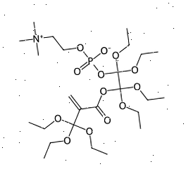 C=C(C(=O)OC(OCC)(OCC)C(OCC)(OCC)OP(=O)([O-])OCC[N+](C)(C)C)C(OCC)(OCC)OCC